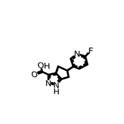 O=C(O)c1n[nH]c2c1CC(c1ccc(F)nc1)C2